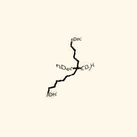 CCCCCCCCCCCCCCCCC(CCCCCCCCCC)(CCCCCCCCCCCCCC)C(=O)O